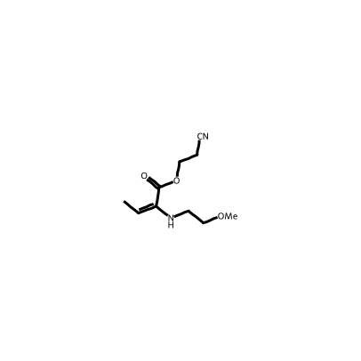 CC=C(NCCOC)C(=O)OCCC#N